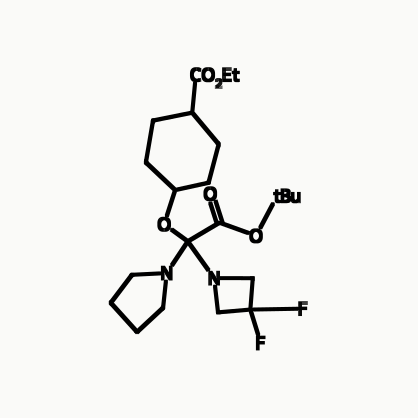 CCOC(=O)C1CCC(OC(C(=O)OC(C)(C)C)(N2CCCC2)N2CC(F)(F)C2)CC1